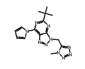 Cn1nnnc1Cn1nnc2c(-n3cccc3)nc(C(C)(C)C)nc21